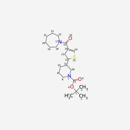 CC(C)(C)OC(=O)N1CCCC(C2CC(C(=O)N3CCCCCC3)=CS2)C1